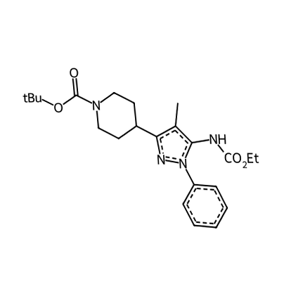 CCOC(=O)Nc1c(C)c(C2CCN(C(=O)OC(C)(C)C)CC2)nn1-c1ccccc1